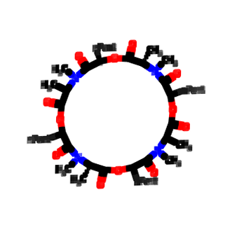 CCCCCC1OC(=O)[C@H](C)N(C)C(=O)C(CCCCC)OC(=O)C(C)N(C)C(=O)[C@@H](CCCCC)OC(=O)[C@H](C)N(C)C(=O)C(CCCCC)OC(=O)C(C)N(C)C1=O